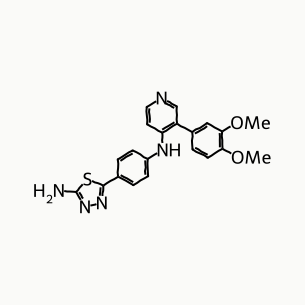 COc1ccc(-c2cnccc2Nc2ccc(-c3nnc(N)s3)cc2)cc1OC